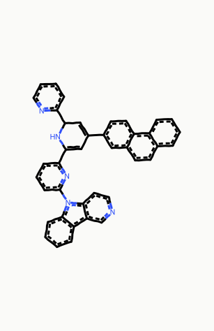 C1=C(c2ccc3c(ccc4ccccc43)c2)C=C(c2cccc(-n3c4ccccc4c4cnccc43)n2)NC1c1ccccn1